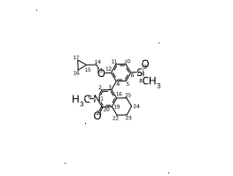 Cn1cc(-c2cc([Si](C)=O)ccc2OCC2CC2)c2c(c1=O)CCCC2